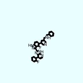 Fc1ccccc1-c1ccnc2[nH]c(-c3n[nH]c4ccc(-c5cncc(CNCc6ccccc6)c5)c(F)c34)nc12